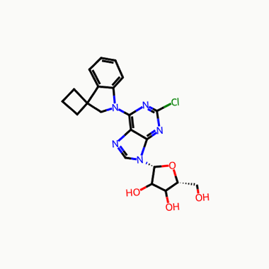 OC[C@H]1O[C@@H](n2cnc3c(N4CC5(CCC5)c5ccccc54)nc(Cl)nc32)C(O)C1O